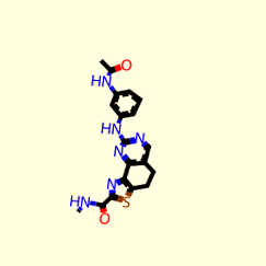 CNC(=O)c1nc2c(s1)CCc1cnc(Nc3cccc(NC(C)=O)c3)nc1-2